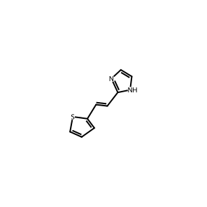 C(=Cc1cccs1)c1ncc[nH]1